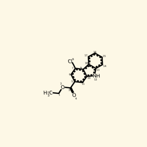 CCOC(=O)c1cc(Cl)c2c(c1)[nH]c1ccccc12